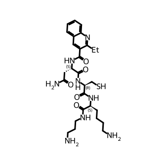 CCc1nc2ccccc2cc1C(=O)N[C@@H](CC(N)=O)C(=O)N[C@@H](CS)C(=O)N[C@@H](CCCCN)C(=O)NCCCN